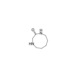 O=C1CNCCCCCN1